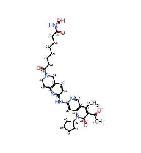 CC(=O)c1c(C)c2cnc(Nc3ccc4c(n3)CCN(C(=O)CCCCCCC(=O)NO)C4)cc2n(C2CCCC2)c1=O